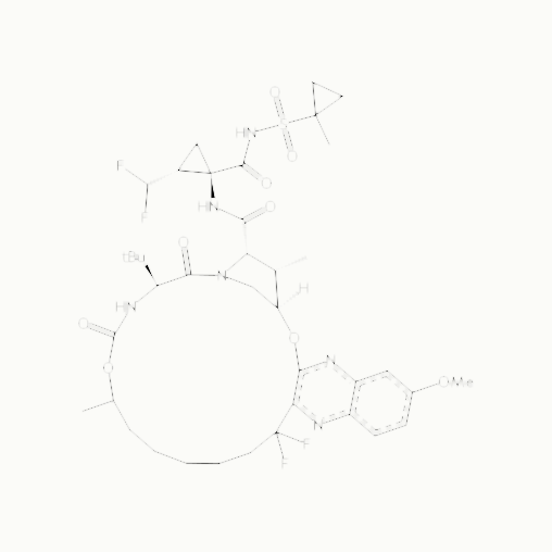 COc1ccc2nc3c(nc2c1)O[C@H]1CN(C(=O)[C@H](C(C)(C)C)NC(=O)OC(C)CCCCCC3(F)F)[C@H](C(=O)N[C@]2(C(=O)NS(=O)(=O)C3(C)CC3)C[C@H]2C(F)F)[C@@H]1C